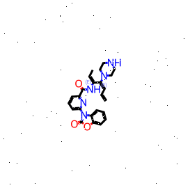 C=C/C=C(\C(=C/C)NC(=O)c1cccc(-n2c(=O)oc3ccccc32)n1)N1CCNCC1